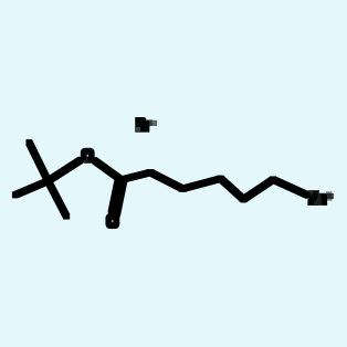 CC(C)(C)OC(=O)CCCC[CH2][Zn+].[Br-]